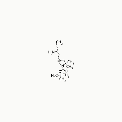 C=CCC(N)CC[C@@H]1CN(C(=O)OC(C)(C)C)C(C)(C)C1